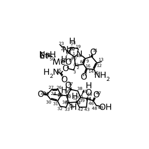 CO[C@@]12[C@H](COC(N)=O)C3=C(C(=O)C(C)=C(N)C3=O)N1C[C@H]1[C@@H]2N1C.C[C@]12C=CC(=O)C=C1CC[C@@H]1[C@@H]2C(=O)C[C@@]2(C)[C@H]1CC[C@]2(O)C(=O)CO.[CH2]CC.[NaH]